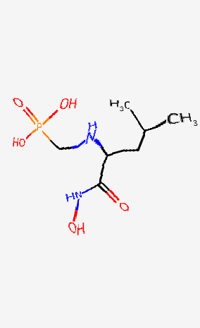 CC(C)CC(NCP(=O)(O)O)C(=O)NO